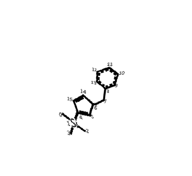 C[Si](C)(C)C1=C[C](Cc2ccccc2)C=C1